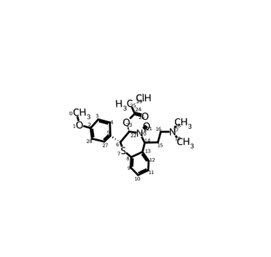 COc1ccc([C@H]2Sc3ccccc3C(CCN(C)C)[N+](=O)[C@H]2OC(C)=O)cc1.Cl